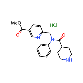 COC(=O)c1ccc(CN(C(=O)C2CCNCC2)c2ccccc2)nc1.Cl